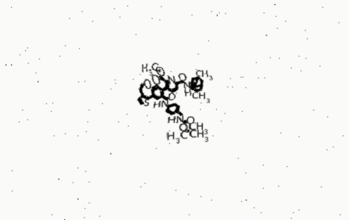 COC(=O)c1nc(C(=O)NC23CC4CC(C)(C2)C[C@](C)(C4)C3)ccc1-c1cc2c(cc1C(=O)Nc1ccc(CNC(=O)OC(C)(C)C)cc1)-c1sccc1CCO2